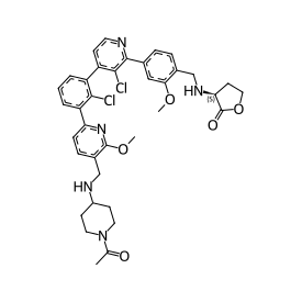 COc1cc(-c2nccc(-c3cccc(-c4ccc(CNC5CCN(C(C)=O)CC5)c(OC)n4)c3Cl)c2Cl)ccc1CN[C@H]1CCOC1=O